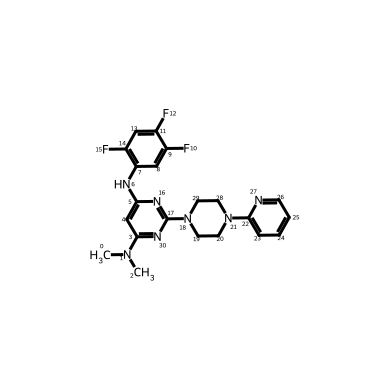 CN(C)c1cc(Nc2cc(F)c(F)cc2F)nc(N2CCN(c3ccccn3)CC2)n1